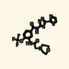 O=C(CN1CCOCC1)Nc1cc(C(=O)Nc2nnc(-c3nccs3)s2)ccc1OC(F)(F)F